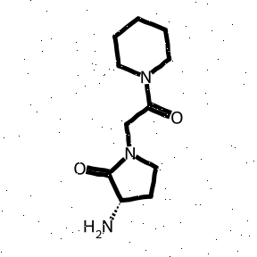 N[C@H]1CCN(CC(=O)N2CCCCC2)C1=O